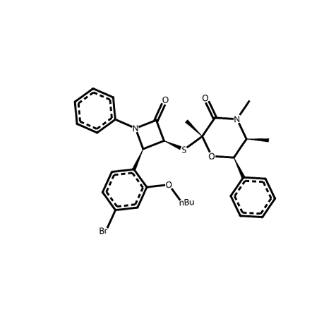 CCCCOc1cc(Br)ccc1[C@@H]1[C@H](S[C@@]2(C)O[C@H](c3ccccc3)[C@H](C)N(C)C2=O)C(=O)N1c1ccccc1